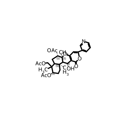 CC(=O)OCC1(C)C2C[C@H](OC(C)=O)[C@@]3(C)Oc4cc(-c5cccnc5)oc(=O)c4[C@H](O)C3[C@@]2(C)CC[C@@H]1OC(C)=O